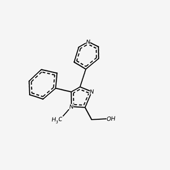 Cn1c(CO)nc(-c2ccncc2)c1-c1ccccc1